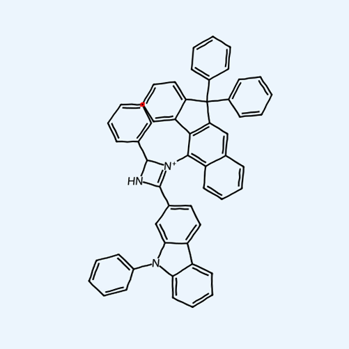 c1ccc(C2NC(c3ccc4c5ccccc5n(-c5ccccc5)c4c3)=[N+]2c2c3c(cc4ccccc24)C(c2ccccc2)(c2ccccc2)c2ccccc2-3)cc1